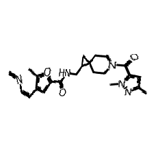 C=N/C=C\c1cc(C(=O)NCC2CC23CCN(C(=O)c2cc(C)nn2C)CC3)oc1C